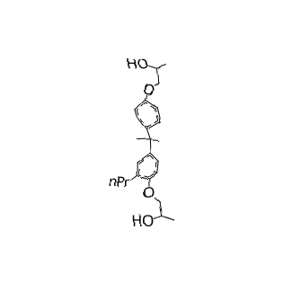 [CH2]CCc1cc(C(C)(C)c2ccc(OCC(C)O)cc2)ccc1OCC(C)O